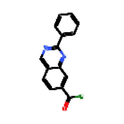 O=C(Cl)c1ccc2cnc(-c3ccccc3)nc2c1